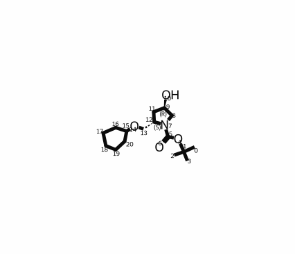 CC(C)(C)OC(=O)N1C[C@H](O)C[C@H]1COC1CCCCC1